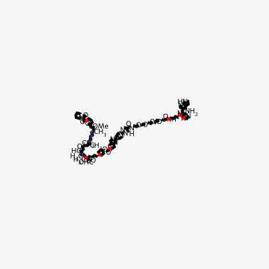 CO[C@@H](CC1CCCC(C(=O)C(=O)N2CCCCC2)O1)/C(C)=C/C=C/C=C/[C@@H](C)C[C@@H](C)C(=O)C[C@H](O)/C(C)=C/[C@@H](C)C(=O)C[C@@H](CC[C@H]1CC[C@H](OC(=O)N2CCc3nc(N4CCN(c5ncc(C(=O)NCCOCCOCCOCCOCCC(=O)NCCCCn6nc(-c7cnc8[nH]ccc8c7)c7c(N)ncnc76)cn5)CC4)ncc3C2)CC1)OC=O